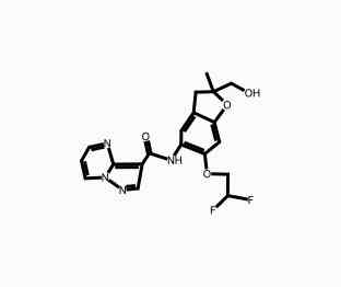 CC1(CO)Cc2cc(NC(=O)c3cnn4cccnc34)c(OCC(F)F)cc2O1